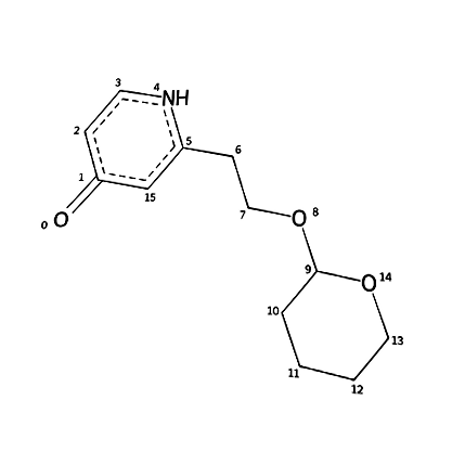 O=c1cc[nH]c(CCOC2CCCCO2)c1